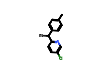 CCC(c1ccc(C)cc1)c1ccc(Cl)cn1